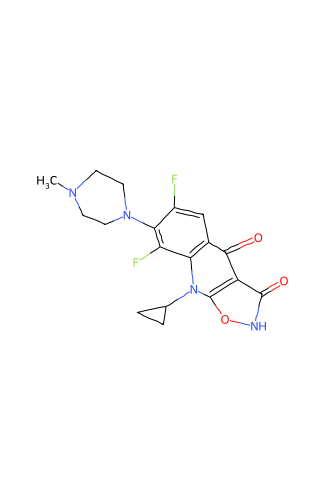 CN1CCN(c2c(F)cc3c(=O)c4c(=O)[nH]oc4n(C4CC4)c3c2F)CC1